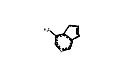 Cc1cncc2c1CC=C2